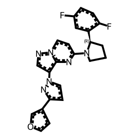 Fc1ccc(F)c([C@H]2CCCN2c2ccn3ncc(-n4ccc(-c5ccoc5)n4)c3n2)c1